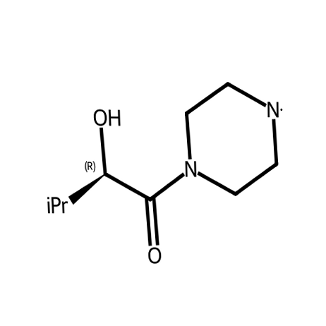 CC(C)[C@@H](O)C(=O)N1CC[N]CC1